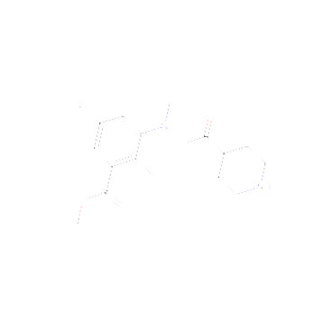 COC(=O)c1cc(Br)cc(N(C)OC(=O)C2CCNCC2)c1C